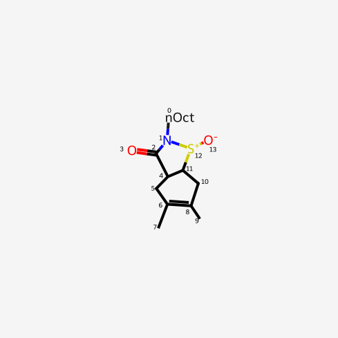 CCCCCCCCN1C(=O)C2CC(C)=C(C)CC2[S+]1[O-]